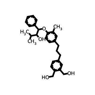 Cc1cc(CCCc2ccc(CO)c(CO)c2)ccc1OC(c1ccccc1)C(O)C(C)C